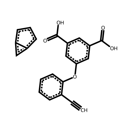 C#Cc1ccccc1Oc1cc(C(=O)O)cc(C(=O)O)c1.c1cc2cc-2c1